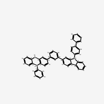 c1ccc(-c2ccc(-n3c4ccccc4c4ccc(-c5cccc(-c6ccc7c(c6)Sc6ccccc6N7c6ccccc6)c5)cc43)cc2)cc1